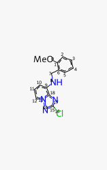 COc1ccccc1CNc1cccn2nc(Cl)nc12